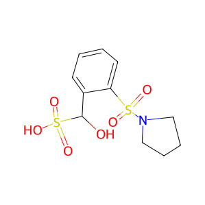 O=S(=O)(O)C(O)c1ccccc1S(=O)(=O)N1CCCC1